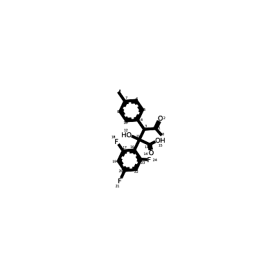 CC(=O)C(c1ccc(C)cc1)C(O)(C(=O)O)c1c(F)cc(F)cc1F